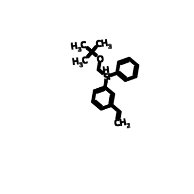 C=Cc1cccc([SiH](COC(C)(C)C)c2ccccc2)c1